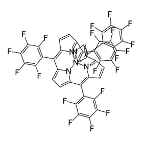 Fc1c(F)c(F)c(C2=C3C=CC4=[N+]3[N+]35n6c2ccc6C(c2c(F)c(F)c(F)c(F)c2F)=C2C=CC(=[N+]23)C(c2c(F)c(F)c(F)c(F)c2F)=c2ccc(n25)=C4c2c(F)c(F)c(F)c(F)c2F)c(F)c1F